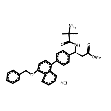 COC(=O)C[C@H](NC(=O)C(C)(C)N)c1ccc(-c2ccc(OCc3ccccc3)c3ccccc23)cc1.Cl